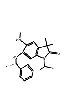 CNc1cc2c(cc1N[C@@H](C)c1ccccc1)N(C(C)C)C(=O)C2(C)C